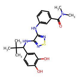 CN(C)C(=O)c1cccc(Nc2nsnc2NC(c2ccc(O)c(O)c2)C(C)(C)C)c1